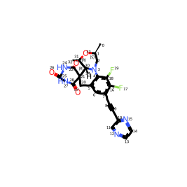 C[C@H]1CN2c3c(cc(C#Cc4cnccn4)c(F)c3F)CC3(C(=O)NC(=O)NC3=O)[C@@H]2[C@@H](C)O1